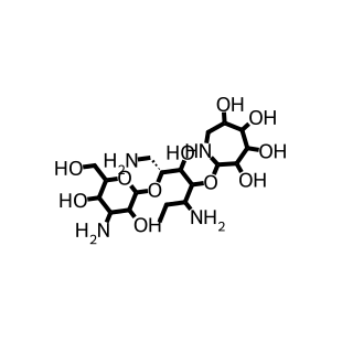 CCC(N)C(OC1NCC(O)C(O)C(O)C1O)C(O)[C@@H](CN)OC1OC(CO)C(O)C(N)C1O